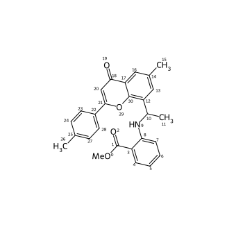 COC(=O)c1ccccc1NC(C)c1cc(C)cc2c(=O)cc(-c3ccc(C)cc3)oc12